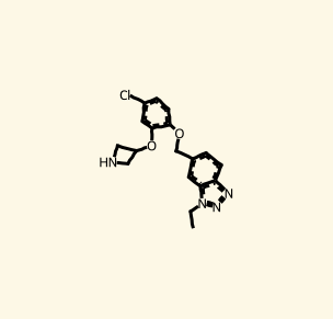 CCn1nnc2ccc(COc3ccc(Cl)cc3OC3CNC3)cc21